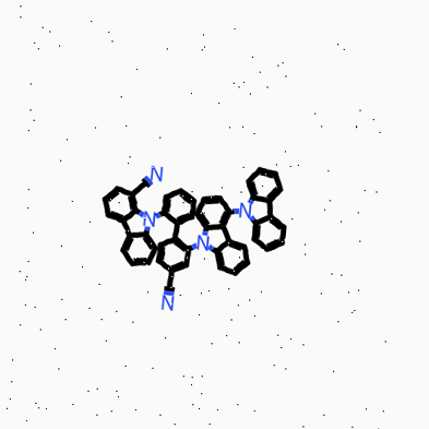 N#Cc1ccc(-c2ccccc2-n2c3ccccc3c3cccc(C#N)c32)c(-n2c3ccccc3c3c(-n4c5ccccc5c5ccccc54)cccc32)c1